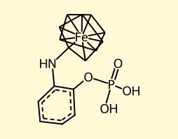 O=P(O)(O)Oc1ccccc1N[C]12[CH]3[CH]4[CH]5[CH]1[Fe]45321678[CH]2[CH]1[CH]6[CH]7[CH]28